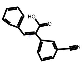 N#Cc1cccc(/C(=C/c2ccccc2)C(=O)O)c1